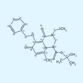 CCN1CN(C(=O)OC(C)(C)C)n2c(C)cc(=O)c(OCc3ccccc3)c2C1=O